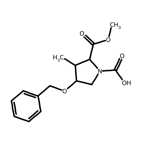 COC(=O)C1C(C)C(OCc2ccccc2)CN1C(=O)O